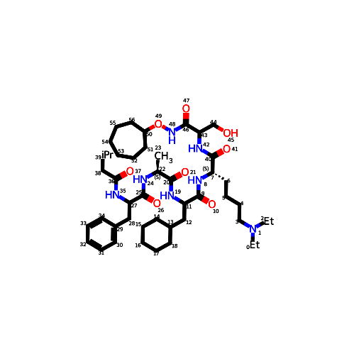 CCN(CC)CCCC[C@H](NC(=O)C(CC1CCCCC1)NC(=O)[C@H](C)NC(=O)C(Cc1ccccc1)NC(=O)CC(C)C)C(=O)NC(CO)C(=O)NOC1CCCCCC1